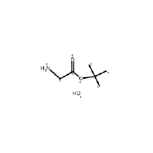 CC(C)(C)OC(=O)CN.Cl